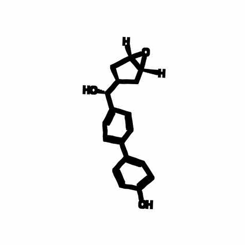 Oc1ccc(-c2ccc([C@H](O)[C@H]3C[C@@H]4O[C@@H]4C3)cc2)cc1